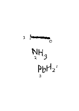 CI.N.[PbH2]